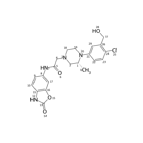 C[C@@H]1CN(CC(=O)Nc2ccc3[nH]c(=O)oc3c2)CCN1c1ccc(Cl)c(CO)c1